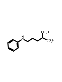 O=C(O)C(CCCNc1ccccc1)C(=O)O